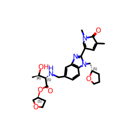 Cc1cc(-c2nc3cc(CN[C@H](C(=O)O[C@H]4CCOC4)[C@@H](C)O)ccc3n2C[C@@H]2CCCO2)cn(C)c1=O